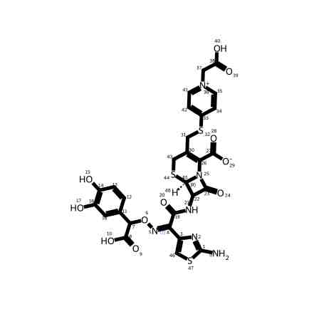 Nc1nc(/C(=N/OC(C(=O)O)c2ccc(O)c(O)c2)C(=O)NC2C(=O)N3C(C(=O)[O-])=C(CSc4cc[n+](CC(=O)O)cc4)CS[C@H]23)cs1